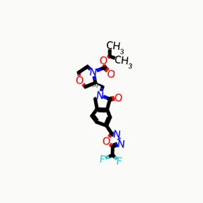 CC(C)OC(=O)N1CCOC[C@@H]1CN1Cc2ccc(-c3nnc(C(F)F)o3)cc2C1=O